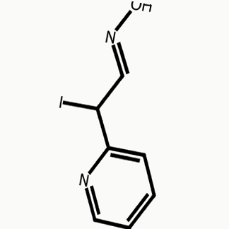 ON=CC(I)c1ccccn1